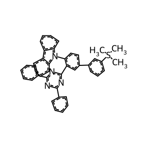 CS(C)(C)c1cccc(-c2ccc(-n3c4ccccc4c4ccccc43)c(-c3nc(-c4ccccc4)nc(-c4ccccc4)n3)c2)c1